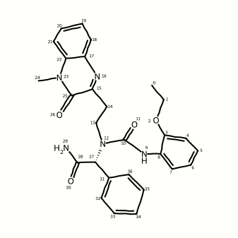 CCOc1ccccc1NC(=O)N(CCc1nc2ccccc2n(C)c1=O)[C@@H](C(N)=O)c1ccccc1